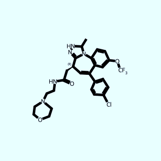 CC1NN=C2[C@H](CC(=O)NCCN3CCOCC3)C=C(c3ccc(Cl)cc3)c3cc(OC(F)(F)F)ccc3N21